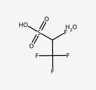 O.O=S(=O)(O)C(F)C(F)(F)F